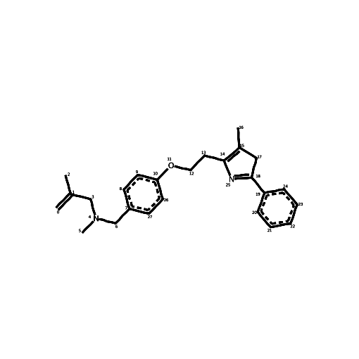 C=C(C)CN(C)Cc1ccc(OCCC2=C(C)CC(c3ccccc3)=N2)cc1